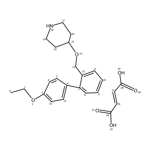 CCOc1ccc(-c2ccccc2COC2CCNCC2)cc1.O=C(O)C=CC(=O)O